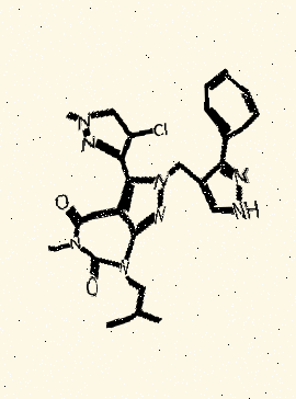 CC(C)Cn1c(=O)n(C)c(=O)c2c(C3=NN(C)CC3Cl)n(Cc3c[nH]nc3-c3ccccc3)nc21